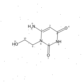 Nc1cc(=O)[nH]c(=O)n1CCO